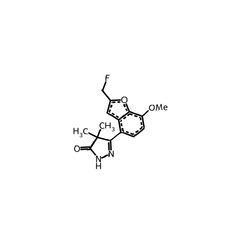 COc1ccc(C2=NNC(=O)C2(C)C)c2cc(CF)oc12